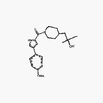 COc1ccc(-c2c[nH]c(C(=O)N3CCC(CC(C)(C)O)CC3)c2)cn1